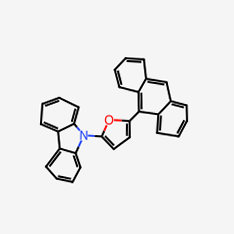 c1ccc2c(-c3ccc(-n4c5ccccc5c5ccccc54)o3)c3ccccc3cc2c1